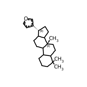 CC1(C)CCCC2C1CC[C@]1(C)C2CCC2C1CC[C@H]2c1ccoc1